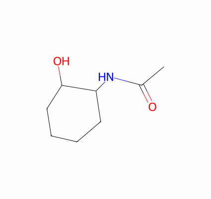 CC(=O)NC1CCCCC1O